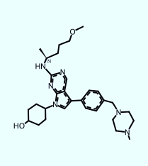 COCCC[C@H](C)Nc1ncc2c(-c3ccc(CN4CCN(C)CC4)cc3)cn(C3CCC(O)CC3)c2n1